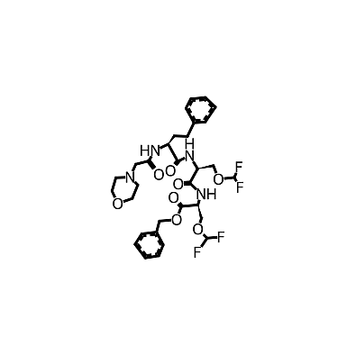 O=C(CN1CCOCC1)N[C@@H](CCc1ccccc1)C(=O)N[C@@H](COC(F)F)C(=O)N[C@@H](COC(F)F)C(=O)OCc1ccccc1